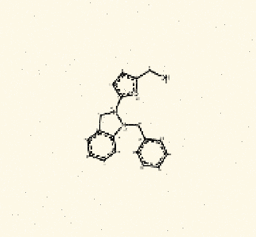 OCc1ccc(N2Cc3ccccc3N2Cc2ccccc2)o1